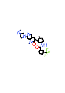 Cc1ccc(NC(=O)c2cccc(C(F)(F)F)c2)cc1-c1cc2cnc(N3CCC(N(C)C)C3)cc2n(C)c1=O